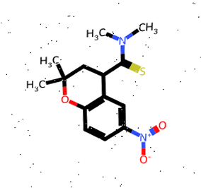 CN(C)C(=S)C1CC(C)(C)Oc2ccc([N+](=O)[O-])cc21